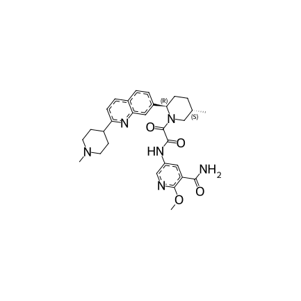 COc1ncc(NC(=O)C(=O)N2C[C@@H](C)CC[C@@H]2c2ccc3ccc(C4CCN(C)CC4)nc3c2)cc1C(N)=O